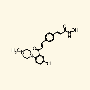 CN1CCN(c2ccc(Cl)cc2C(=O)C=Cc2ccc(C=CC(=O)NO)cc2)CC1